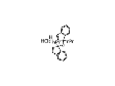 CCC[C]1([Zr][C]2(CCC)C=Cc3ccccc32)C=Cc2ccccc21.Cl.Cl